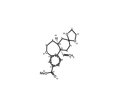 C=C[C@@]12CCC3(C[C@@H]1CCOc1cc(C(=O)OC)ccc12)OCCO3